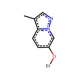 CCOc1ccc2c(C)cnn2c1